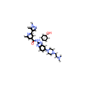 Cc1cc(C(=O)Nc2nc3ccc(N4CCN(CCN(C)C)CC4)cc3n2[C@H]2CC[C@@H](O)CC2)cc(-c2cnn(C)c2C)n1